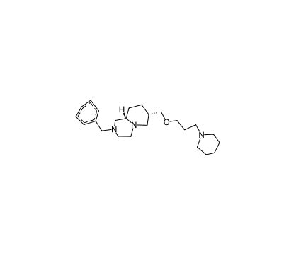 c1ccc(CN2CCN3C[C@@H](COCCCN4CCCCC4)CC[C@H]3C2)cc1